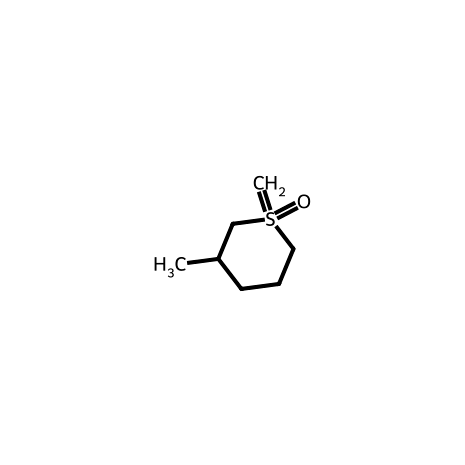 C=S1(=O)CCCC(C)C1